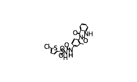 Cc1cc(NC(=O)NS(=O)(=O)c2ccc(Cl)s2)ccc1-n1c(=O)[nH]c2ccccc2c1=O